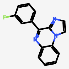 Fc1cccc(-c2nc3ccccc3n3ccnc23)c1